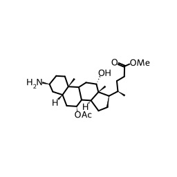 COC(=O)CC[C@@H](C)[C@H]1CC[C@H]2C3C(C[C@H](O)[C@]12C)[C@@]1(C)CC[C@H](N)C[C@H]1C[C@H]3OC(C)=O